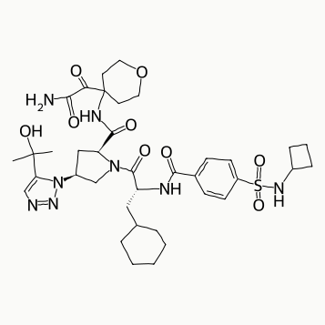 CC(C)(O)c1cnnn1[C@H]1C[C@@H](C(=O)NC2(C(=O)C(N)=O)CCOCC2)N(C(=O)[C@@H](CC2CCCCC2)NC(=O)c2ccc(S(=O)(=O)NC3CCC3)cc2)C1